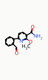 COc1nc(-c2ccccc2C=O)ccc1C(N)=O